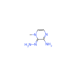 Cn1ccnc(N)c1=NN